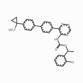 CC(OC(=O)Nc1ncnnc1-c1ccc(-c2ccc(C3(C(=O)O)CC3)cc2)cc1)c1ccccc1Cl